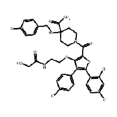 NC(=O)C1(NCc2ccc(F)cc2)CCN(C(=O)c2sc(-c3ccc(Cl)cc3Cl)c(-c3ccc(Cl)cc3)c2OCCNC(=O)CO)CC1